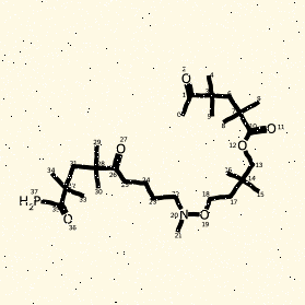 CC(=O)C(C)(C)CC(C)(C)C(=O)OCC(C)(C)CCON(C)CCCCC(=O)C(C)(C)CC(C)(C)C(=O)P